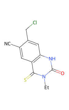 CCn1c(=O)[nH]c2cc(CCl)c(C#N)cc2c1=S